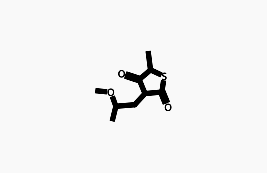 COC(C)CC1C(=O)SC(C)C1=O